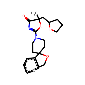 CC1(CC2CCCO2)OC(N2CCC3(CC2)OCc2ccccc23)=NC1=O